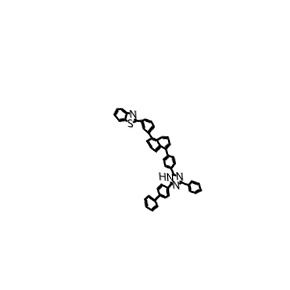 c1ccc(C2=NC(c3ccc(-c4cccc5c(-c6cccc(-c7nc8ccccc8s7)c6)cccc45)cc3)NC(c3ccc(-c4ccccc4)cc3)=N2)cc1